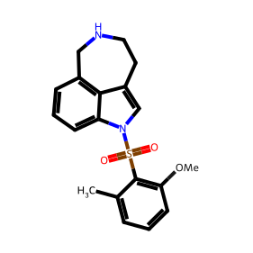 COc1cccc(C)c1S(=O)(=O)n1cc2c3c(cccc31)CNCC2